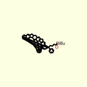 CC(C)COC(=O)CCCC1(c2ccccc2)C2c3cc4c5c6c(cc7c8c9c%10c%11c%12c%13c(cc%14cc%15c%16c(c%17c3c5c(c%10c86)c%17c%11c%16c%14%12)C21C=%15)CC(C7)C%139)C4